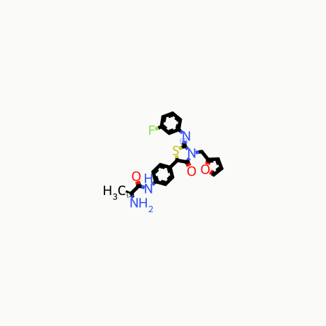 C[C@H](N)C(=O)Nc1ccc(C2S/C(=N\c3cccc(F)c3)N(Cc3ccco3)C2=O)cc1